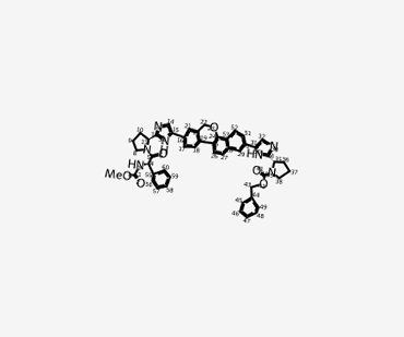 COC(=O)N[C@@H](C(=O)N1CCC[C@H]1c1ncc(-c2ccc3c(c2)COc2c-3ccc3cc(-c4cnc([C@@H]5CCCN5C(=O)OCc5ccccc5)[nH]4)ccc23)[nH]1)c1ccccc1